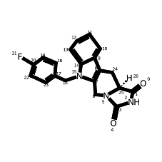 O=C1NC(=O)N2Cc3c(c4ccccc4n3Cc3ccc(F)cc3)C[C@@H]12